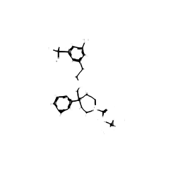 CC(C)(C)OC(=O)N1CCC(COCCc2cc(Br)cc(C(F)(F)F)c2)(c2ccccc2)CC1